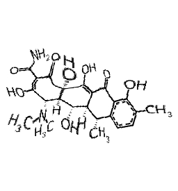 Cc1ccc2c(c1O)C(=O)C1=C(O)[C@]3(O)C(=O)C(C(N)=O)=C(O)[C@@H](N(C)C)[C@@H]3[C@@H](O)[C@@H]1[C@H]2C